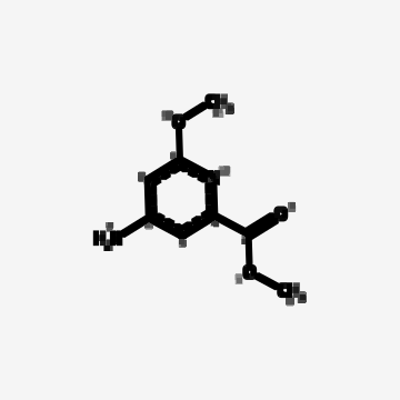 COC(=O)c1cc(N)cc(OC)n1